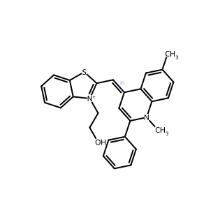 Cc1ccc2c(c1)/C(=C/c1sc3ccccc3[n+]1CCO)C=C(c1ccccc1)N2C